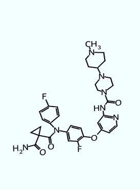 CN1CCC(N2CCN(C(=O)Nc3cc(Oc4ccc(N(C(=O)C5(C(N)=O)CC5)c5ccc(F)cc5)cc4F)ccn3)CC2)CC1